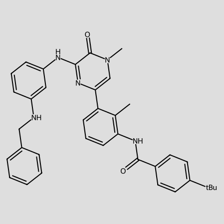 Cc1c(NC(=O)c2ccc(C(C)(C)C)cc2)cccc1-c1cn(C)c(=O)c(Nc2cccc(NCc3ccccc3)c2)n1